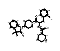 CC1(C)C(=O)N(C2CCN(C(=O)C(Cc3ccccc3F)NC(=O)C3CCCNC3)CC2)c2ccccc21